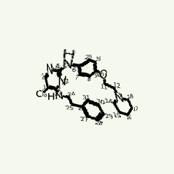 Clc1cnc(Nc2ccc(OCCN3CCCCC3)cc2)nc1NCCc1ccccc1